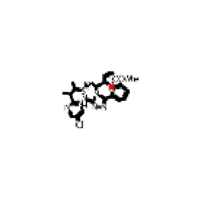 COc1cccc(-c2nnc(N[S+]([O-])C(C)C(C)c3ncc(Cl)cn3)n2C(C)c2ccon2)n1